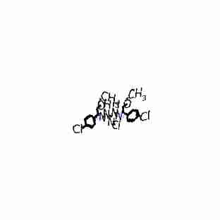 CCOC/C(=N\NC(=NCl)N/N=C(\COCC)c1ccc(Cl)cc1)c1ccc(Cl)cc1